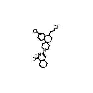 O=c1[nH]c(N2CCC3(CCC(CCO)c4cc(Cl)ccc43)CC2)cc2c1CCCC2